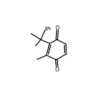 CC1=C(C(C)(C)C(C)C)C(=O)C=CC1=O